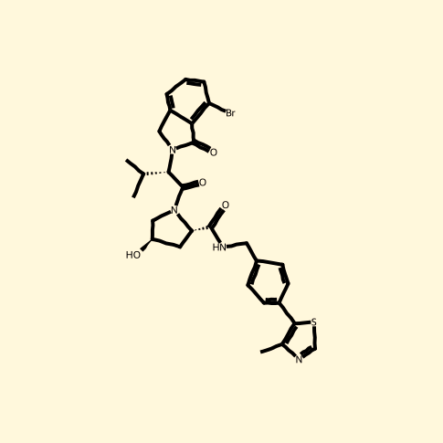 Cc1ncsc1-c1ccc(CNC(=O)[C@@H]2C[C@@H](O)CN2C(=O)[C@H](C(C)C)N2Cc3cccc(Br)c3C2=O)cc1